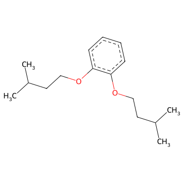 CC(C)CCOc1ccccc1OCCC(C)C